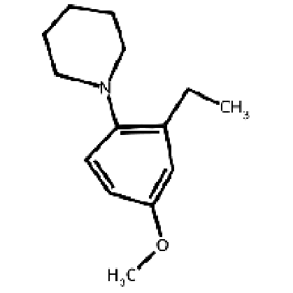 CCc1cc(OC)ccc1N1CCCCC1